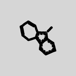 Cn1c2c(c3ccccc31)CC=CC=C2